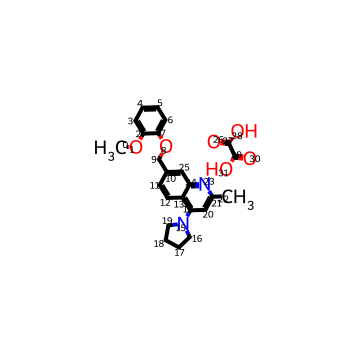 COc1ccccc1OCc1ccc2c(N3CCCC3)cc(C)nc2c1.O=C(O)C(=O)O